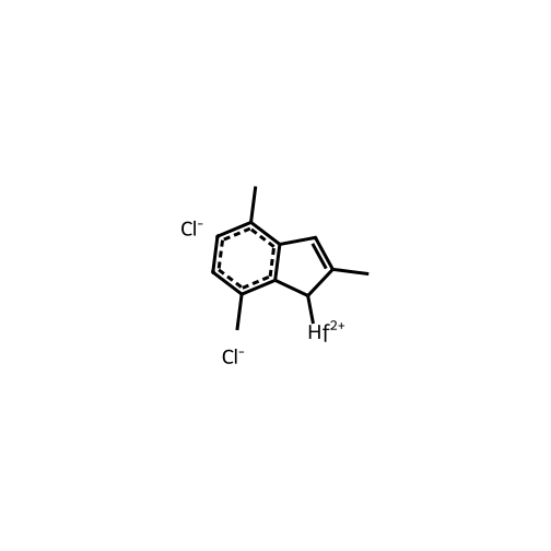 CC1=Cc2c(C)ccc(C)c2[CH]1[Hf+2].[Cl-].[Cl-]